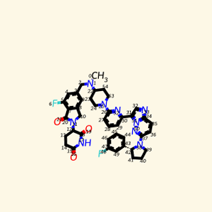 CN(Cc1cc(F)c2c(c1)CN(C1CCC(=O)NC1=O)C2=O)C1CCN(c2cccc(-c3cnc4ccc(N5CCC[C@@H]5c5cccc(F)c5)nn34)n2)CC1